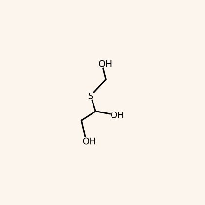 OCSC(O)CO